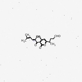 CC(C)=C/C=C(\C)C(=O)c1c(O)cc(C(C)CCC=O)oc1=O